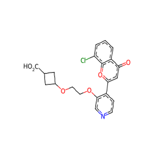 O=C(O)C1CC(OCCOc2cnccc2-c2cc(=O)c3cccc(Cl)c3o2)C1